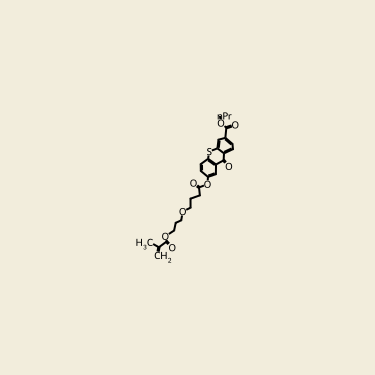 C=C(C)C(=O)OCCCOCCCC(=O)Oc1ccc2sc3cc(C(=O)OCCC)ccc3c(=O)c2c1